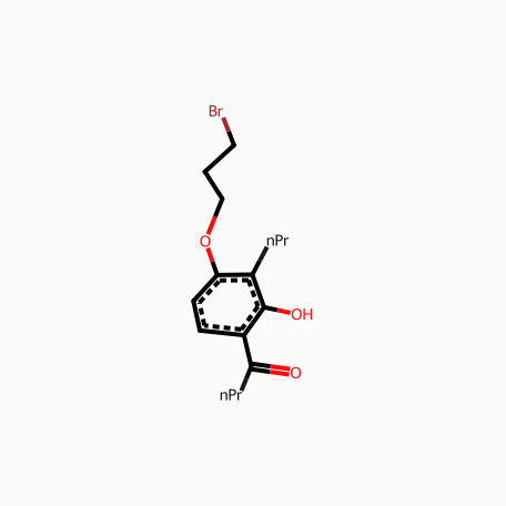 CCCC(=O)c1ccc(OCCCBr)c(CCC)c1O